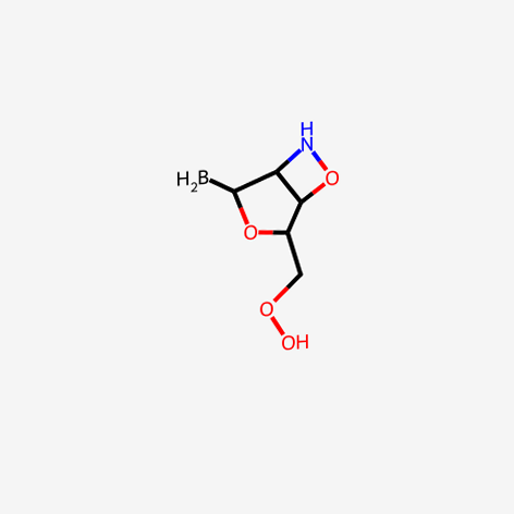 BC1OC(COO)C2ONC12